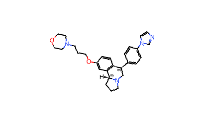 c1cn(-c2ccc([C@H]3CN4CCC[C@@H]4c4cc(OCCCN5CCOCC5)ccc43)cc2)cn1